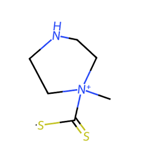 C[N+]1(C([S])=S)CCNCC1